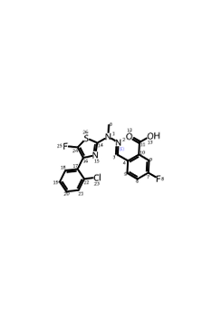 CN(/N=C/c1ccc(F)cc1C(=O)O)c1nc(-c2ccccc2Cl)c(F)s1